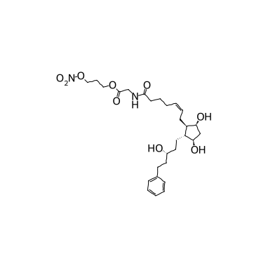 O=C(CCC/C=C\C[C@@H]1[C@@H](CC[C@@H](O)CCc2ccccc2)[C@H](O)C[C@@H]1O)NCC(=O)OCCCO[N+](=O)[O-]